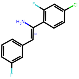 N/C(=C\c1cccc(F)c1)c1ccc(Cl)cc1F